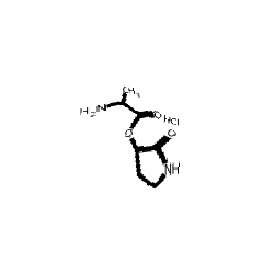 CC(N)C(=O)OC1CCNC1=O.Cl